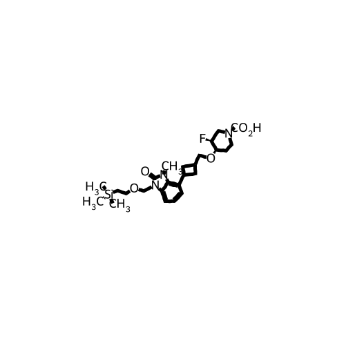 Cn1c(=O)n(COCC[Si](C)(C)C)c2cccc(C3CC(CO[C@@H]4CCN(C(=O)O)C[C@@H]4F)C3)c21